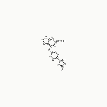 Cn1cnc(-c2ccc(Cc3cc(C(=O)O)nc4c3OCC4)cc2)c1